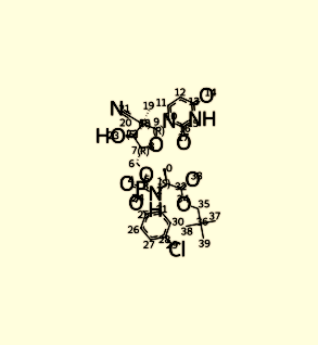 C[C@H](NP(=O)(OC[C@H]1O[C@@H](n2ccc(=O)[nH]c2=O)[C@](C)(C#N)[C@@H]1O)Oc1ccc(Cl)cc1)C(=O)OCC(C)(C)C